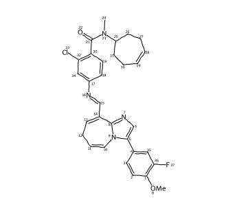 COc1ccc(-c2cnc3n2C=CCC=C3/C=N/c2ccc(C(=O)N(C)C3CCC=CCC3)c(Cl)c2)cc1F